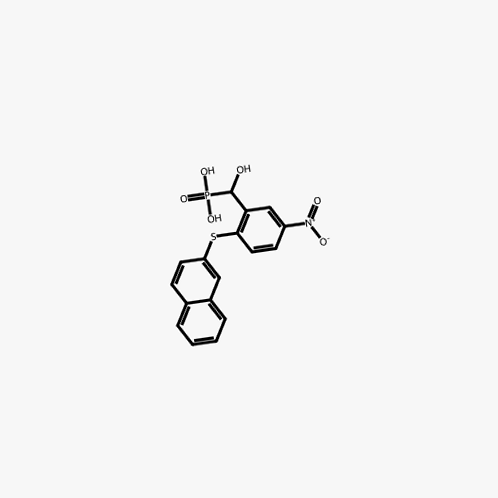 O=[N+]([O-])c1ccc(Sc2ccc3ccccc3c2)c(C(O)P(=O)(O)O)c1